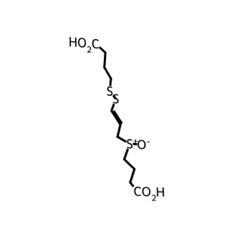 O=C(O)CCCSSC=CC[S+]([O-])CCCC(=O)O